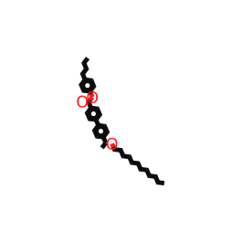 CCCCCCCCCCCCOC(C)c1ccc(-c2ccc(C(=O)Oc3ccc(CCCC)cc3)cc2)cc1